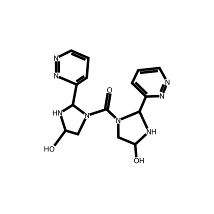 O=C(N1CC(O)NC1c1cccnn1)N1CC(O)NC1c1cccnn1